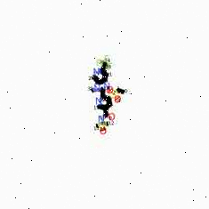 CCS(=O)(=O)c1cc(C(=O)N=S(C)(C)=O)cnc1-c1nc2cc(C(F)(F)F)ncc2n1C